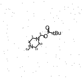 CN1CCN(COC(=O)C(C)(C)C)CC1